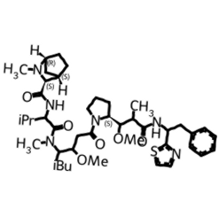 CCC(C)C(C(CC(=O)N1CCC[C@H]1C(OC)C(C)C(=O)NC(Cc1ccccc1)c1nccs1)OC)N(C)C(=O)C(NC(=O)[C@@H]1[C@H]2CC[C@H](C2)N1C)C(C)C